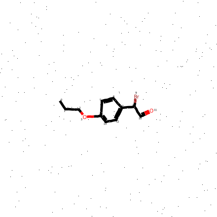 CCCOc1ccc(C(Br)C=O)cc1